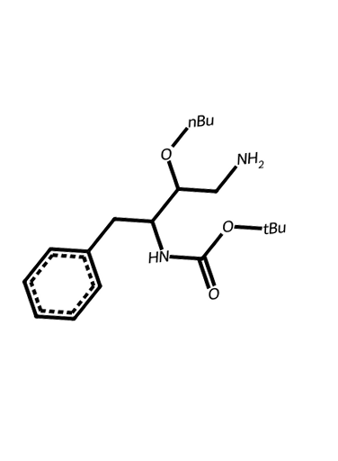 CCCCOC(CN)C(Cc1ccccc1)NC(=O)OC(C)(C)C